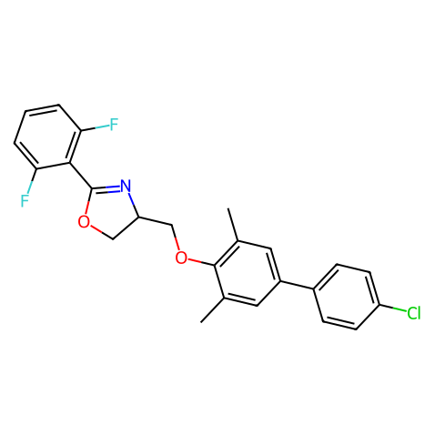 Cc1cc(-c2ccc(Cl)cc2)cc(C)c1OCC1COC(c2c(F)cccc2F)=N1